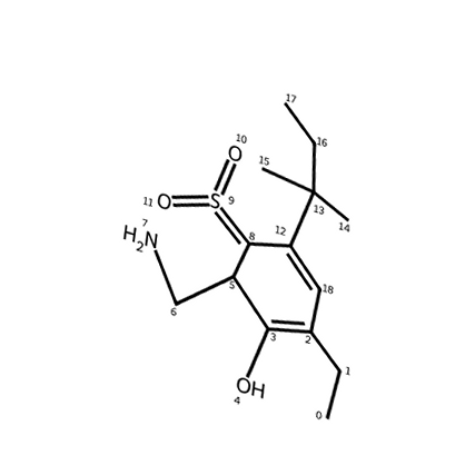 CCC1=C(O)C(CN)C(=S(=O)=O)C(C(C)(C)CC)=C1